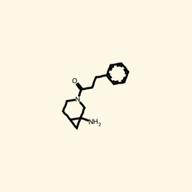 NC12CC1CCN(C(=O)CCc1ccccc1)C2